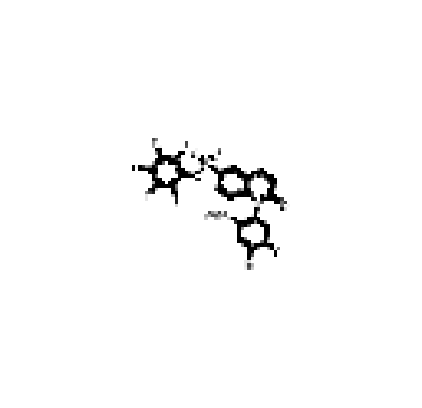 COC1=C(n2c(=O)ccc3cc(S(=O)(=O)Oc4c(F)c(F)c(F)c(F)c4F)ccc32)CC(Cl)C(Br)=C1